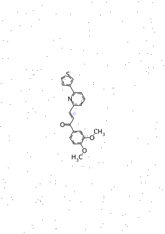 COc1ccc(C(=O)/C=C/c2cccc(-c3ccsc3)n2)cc1OC